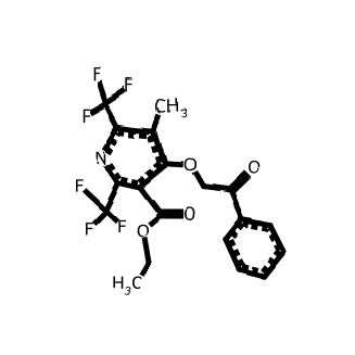 CCOC(=O)c1c(C(F)(F)F)nc(C(F)(F)F)c(C)c1OCC(=O)c1ccccc1